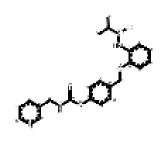 CC(C)[S+]([O-])Nc1ccccc1OCc1ccc(NC(=O)NCc2cccnc2)cc1